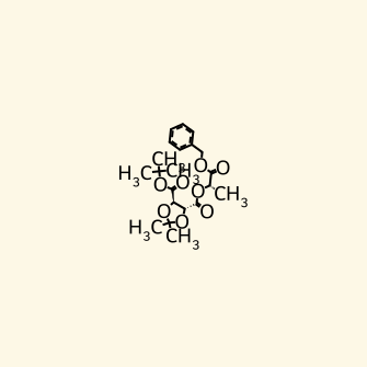 C[C@H](OC(=O)[C@@H]1OC(C)(C)O[C@H]1C(=O)OC(C)(C)C)C(=O)OCc1ccccc1